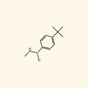 CN[S+]([O-])c1ccc(C(C)(C)C)cc1